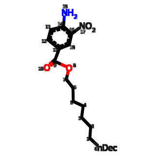 CCCCCCCCCCCCCCCCCOC(=O)c1ccc(N)c([N+](=O)[O-])c1